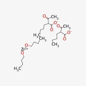 CCCCC(C(C)=O)C(=O)[O-].CCCCC(C(C)=O)C(=O)[O-].CCCC[O][Zr+2][O]CCCC